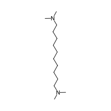 CN(C)CCCCCCCCCCN(C)C